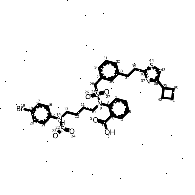 O=C(O)c1ccccc1N(CCCCN(c1ccc(Br)cc1)[SH](=O)=O)S(=O)(=O)Cc1cccc(CCc2nc(C3CCC3)cs2)c1